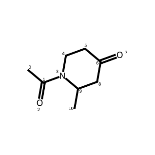 CC(=O)N1CCC(=O)CC1C